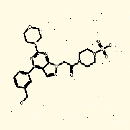 CS(=O)(=O)N1CCN(C(=O)Cn2ncc3c(-c4cccc(CO)c4)nc(N4CCOCC4)nc32)CC1